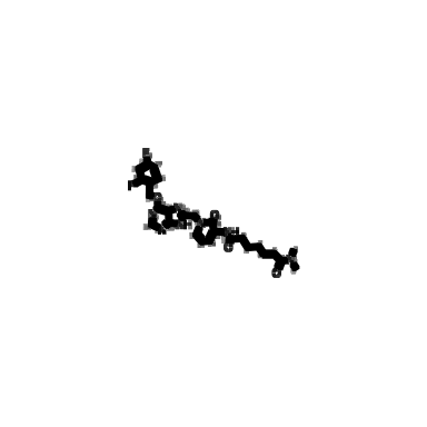 CN(C)C(=O)/C=C/CC[CH]C(=O)Nc1cccn(Cc2nc3c(OCc4ccc(F)cc4F)ncnc3[nH]2)c1=O